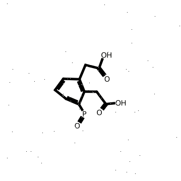 O=Pc1cccc(CC(=O)O)c1CC(=O)O